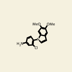 COc1cc2ccn(-c3ccc(N)cc3Cl)c2cc1OC